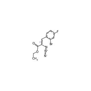 CCOC(=O)/C(=C/c1ccc(F)cc1Br)N=[N+]=[N-]